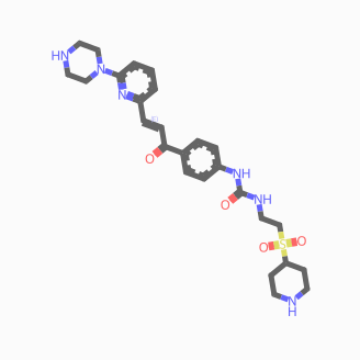 O=C(NCCS(=O)(=O)C1CCNCC1)Nc1ccc(C(=O)/C=C/c2cccc(N3CCNCC3)n2)cc1